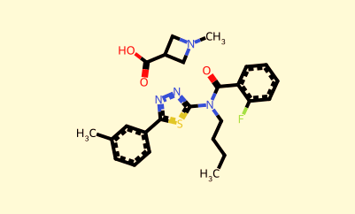 CCCCN(C(=O)c1ccccc1F)c1nnc(-c2cccc(C)c2)s1.CN1CC(C(=O)O)C1